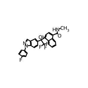 CNC(=O)c1ccc(C(O)(c2ccc3c(cnn3-c3ccc(F)cc3)c2)C(F)(F)F)c2ccccc12